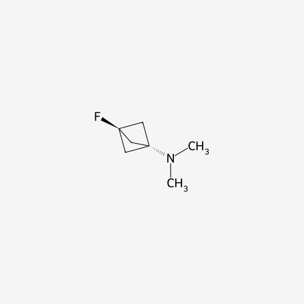 CN(C)[C@]12C[C@@](F)(C1)C2